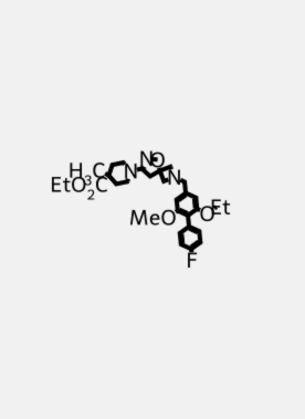 CCOC(=O)C1(C)CCN(C2=NOC3(C2)CN(Cc2cc(OC)c(-c4ccc(F)cc4)c(OCC)c2)C3)CC1